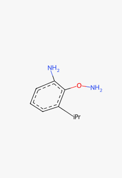 CC(C)c1cccc(N)c1ON